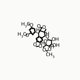 COc1[c]c(OC)cc([C@@H]2c3cc4c(cc3[C@@H](O[C@@H]3O[C@@H]5CO[C@@H](C)O[C@H]5[C@H](O)[C@H]3O)[C@H]3COC(=O)[C@H]23)OCO4)c1